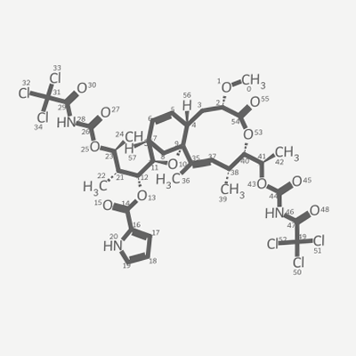 CO[C@H]1C[C@H]2C=C[C@@H]3C[C@]2(O[C@H]3[C@H](OC(=O)c2ccc[nH]2)[C@H](C)[C@H](C)OC(=O)NC(=O)C(Cl)(Cl)Cl)/C(C)=C/[C@@H](C)[C@@H]([C@@H](C)OC(=O)NC(=O)C(Cl)(Cl)Cl)OC1=O